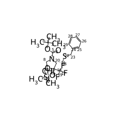 CC(C)(C)OC(=O)N1CO[C@@](O[Si](C)(C)C)(C(F)(F)F)[C@H]1CSCc1ccccc1